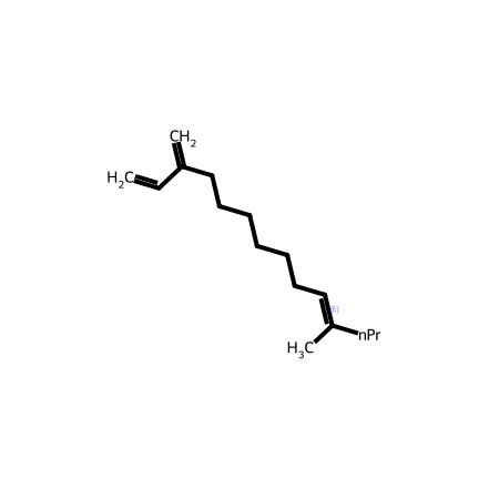 C=CC(=C)CCCCCC/C=C(\C)CCC